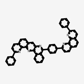 c1ccc(-c2ccc3ccc4ccc(-c5ccc(-c6nc7cc8ccc9ccc(-c%10ccccc%10)nc9c8nc7c7ccccc67)cc5)nc4c3n2)cc1